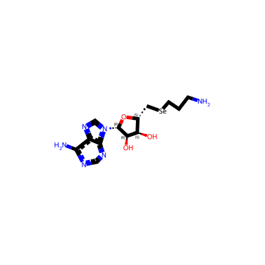 NCCC[Se]C[C@H]1O[C@@H](n2cnc3c(N)ncnc32)[C@H](O)[C@@H]1O